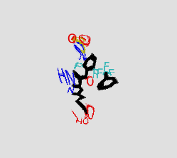 FC(F)(F)c1ccccc1.O=C(O)CCc1cnc2[nH]cc(C(=O)c3c(F)ccc(N=S(=O)=O)c3F)c2c1